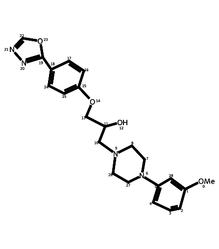 COc1cccc(N2CCN(CC(O)COc3ccc(-c4nnco4)cc3)CC2)c1